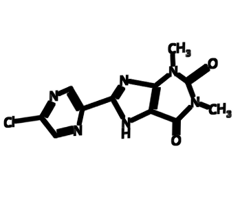 Cn1c(=O)c2[nH]c(-c3cnc(Cl)cn3)nc2n(C)c1=O